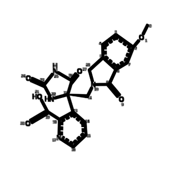 COc1ccc2c(c1)C(=O)N(C[C@@]1(c3cccnc3C(=O)O)NC(=O)NC1=O)C2